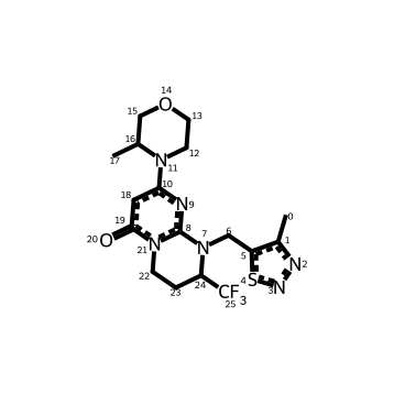 Cc1nnsc1CN1c2nc(N3CCOCC3C)cc(=O)n2CCC1C(F)(F)F